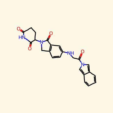 O=C1CCC(N2Cc3ccc(NCC(=O)n4cc5ccccc5c4)cc3C2=O)C(=O)N1